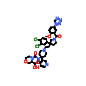 COc1ccc(-n2cnnn2)cc1C(=O)N1CCC(CCN2CCC(NC(=O)N3CCOCC3C(=O)O)(c3cccnc3)CC2)(c2ccc(Cl)c(Cl)c2)C1